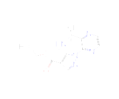 CCOC(=O)c1cnn(-c2nccnc2[C@@H](C)N)c1